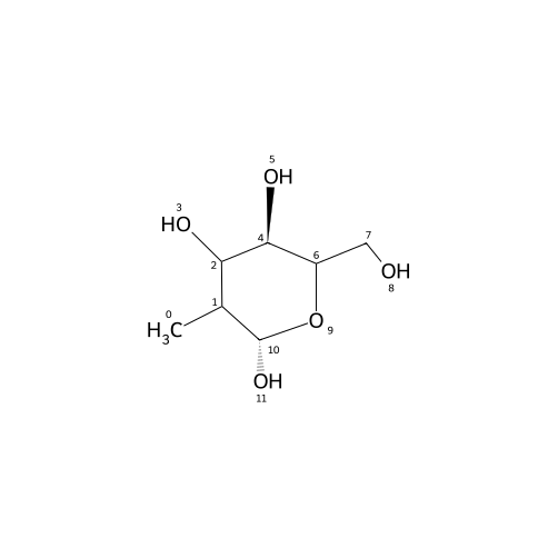 CC1C(O)[C@@H](O)C(CO)O[C@@H]1O